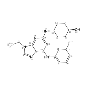 CCn1cnc2c(Nc3cccc(F)c3)nc(N[C@H]3CC[C@H](O)CC3)nc21